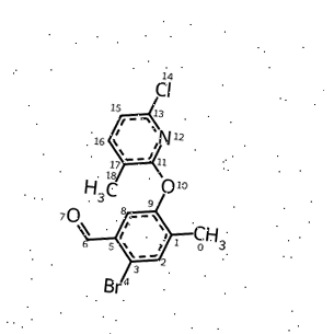 Cc1cc(Br)c(C=O)cc1Oc1nc(Cl)ccc1C